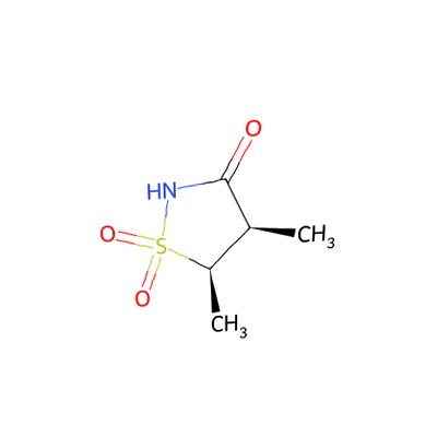 C[C@@H]1C(=O)NS(=O)(=O)[C@@H]1C